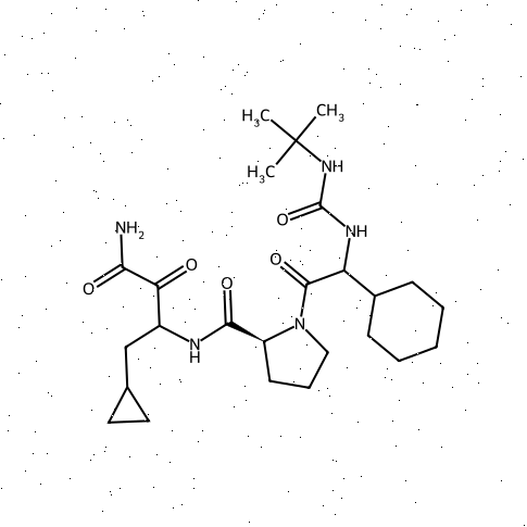 CC(C)(C)NC(=O)NC(C(=O)N1CCC[C@H]1C(=O)NC(CC1CC1)C(=O)C(N)=O)C1CCCCC1